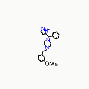 COc1cccc(CCN2CCN(C(c3ccccc3)c3ccnn3C)CC2)c1